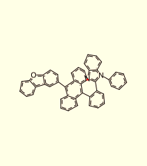 c1ccc(-n2c(-c3ccccc3-c3c4ccccc4c(-c4ccc5oc6ccccc6c5c4)c4ccccc34)nc3ccccc32)cc1